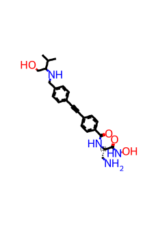 CC(C)C(CO)NCc1ccc(C#Cc2ccc(C(=O)N[C@@H](CN)C(=O)NO)cc2)cc1